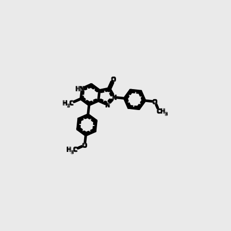 COc1ccc(-c2c3nn(-c4ccc(OC)cc4)c(=O)c-3c[nH]c2C)cc1